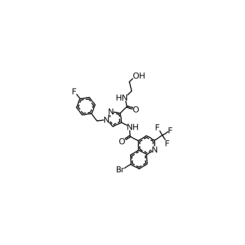 O=C(NCCO)c1nn(Cc2ccc(F)cc2)cc1NC(=O)c1cc(C(F)(F)F)nc2ccc(Br)cc12